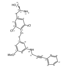 COc1cc(COc2c(Cl)cc(C[C@H](N)C(=O)O)cc2Cl)cc(NCC#Cc2ccccc2)c1